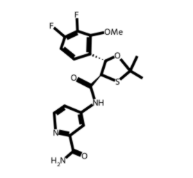 COc1c([C@@H]2OC(C)(C)S[C@H]2C(=O)Nc2ccnc(C(N)=O)c2)ccc(F)c1F